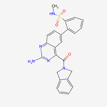 CNS(=O)(=O)c1ccccc1-c1ccc2nc(N)nc(C(=O)N3Cc4ccccc4C3)c2c1